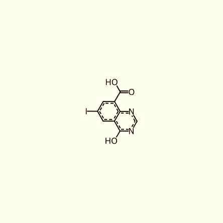 O=C(O)c1cc(I)cc2c(O)ncnc12